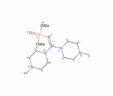 COP(=O)(N=C(N1CCN(C)CC1)N1CCN(C)CC1)OC